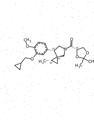 COc1ccc([C@@H]2CN(C(=O)[C@@H]3COC(C)(C)O3)C[C@]23C[C@@H]3C)cc1OCC1CC1